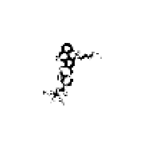 COCCOc1cc2c(c(Cl)c1-c1c(O)cccc1Cl)OC[C@H]1CN(C(=O)OC(C)(C)C)CCN1C2